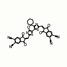 N#Cc1cc2c(cc1C#N)C(=O)C(=Cc1nc3c(s1)-c1sc(C=C4C(=O)c5cc(C#N)c(C#N)cc5C4=O)nc1C1(CCCCC1)O3)C2=O